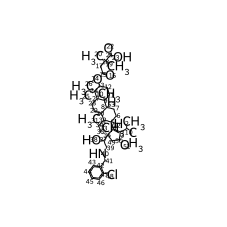 CC(C)C1=C2[C@H]3CC[C@@H]4[C@@]5(C)CC[C@H](OC(=O)CC(C)(C)C(=O)O)C(C)(C)C5CC[C@@]4(C)[C@]3(C)CC[C@@]2([C@H](O)CNCc2ccccc2Cl)CC1=O